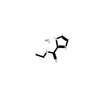 CCOC(=O)c1nccs1.Cl